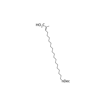 CCCCCCCCCCCCCCCCCCCCCCCCCCCCC=C(C)C(=O)O